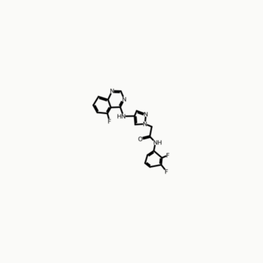 O=C(Cn1cc(Nc2ncnc3cccc(F)c23)cn1)Nc1cccc(F)c1F